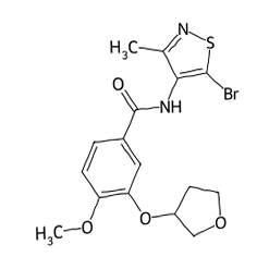 COc1ccc(C(=O)Nc2c(C)nsc2Br)cc1OC1CCOC1